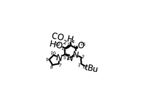 CC(C)(C)CCn1nc(N2CCCC2)c(O)c(C(=O)O)c1=O